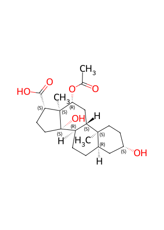 CC(=O)O[C@@H]1C[C@H]2[C@@H](CC[C@@H]3C[C@@H](O)CC[C@@]32C)[C@@]2(O)CC[C@H](C(=O)O)[C@@]12C